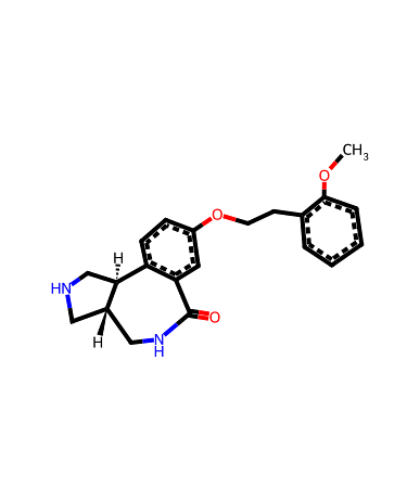 COc1ccccc1CCOc1ccc2c(c1)C(=O)NC[C@@H]1CNC[C@@H]21